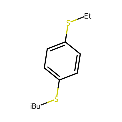 CCSc1ccc(SC(C)CC)cc1